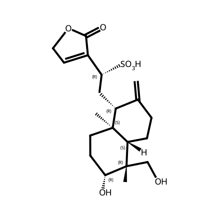 C=C1CC[C@@H]2[C@](C)(CO)[C@H](O)CC[C@@]2(C)[C@@H]1C[C@H](C1=CCOC1=O)S(=O)(=O)O